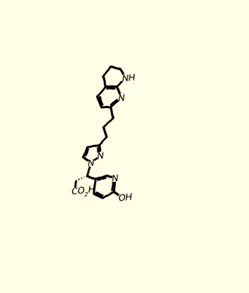 O=C(O)C[C@@H](c1ccc(O)nc1)n1ccc(CCCc2ccc3c(n2)NCCC3)n1